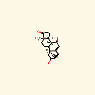 C[C@]12CC(O)C=CC1=CC(=O)[C@@H]1[C@H]2CC[C@]2(C)C(=O)CC[C@@H]12